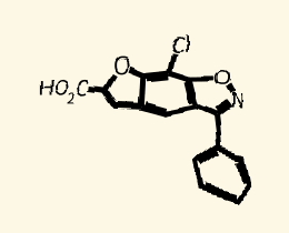 O=C(O)C1Cc2cc3c(-c4ccccc4)noc3c(Cl)c2O1